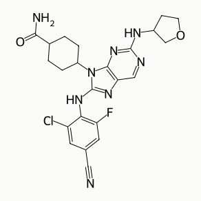 N#Cc1cc(F)c(Nc2nc3cnc(NC4CCOC4)nc3n2C2CCC(C(N)=O)CC2)c(Cl)c1